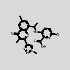 Cc1cc(C(C)Nc2ccc(Cl)nc2C(=O)O)c2oc(-c3cn(C)nn3)c(C)c(=O)c2c1